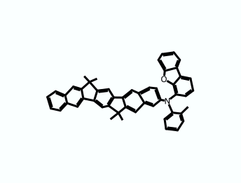 Cc1ccccc1N(c1ccc2cc3c(cc2c1)C(C)(C)c1cc2c(cc1-3)C(C)(C)c1cc3ccccc3cc1-2)c1cccc2c1oc1ccccc12